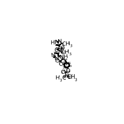 Cc1n[nH]cc1S(=O)(=O)N(C)c1cncnc1N[C@@H](Cc1ccc(OC(=O)N(C)C)cc1)C(=O)O